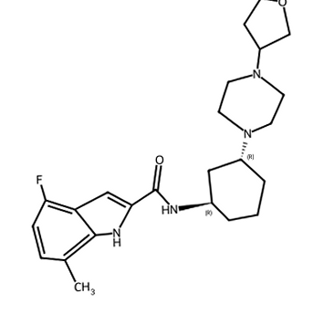 Cc1ccc(F)c2cc(C(=O)N[C@@H]3CCC[C@@H](N4CCN(C5CCOC5)CC4)C3)[nH]c12